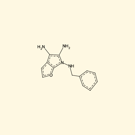 Nc1c(N)n(NCc2ccccc2)c2occc12